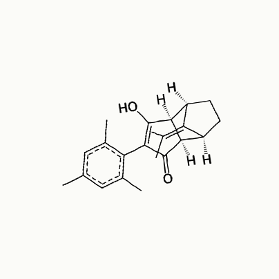 CC(C)=C1[C@H]2CC[C@@H]1[C@@H]1C(O)=C(c3c(C)cc(C)cc3C)C(=O)[C@@H]12